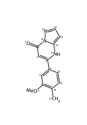 COc1cc(-c2cc(=O)n3nccc3[nH]2)ccc1C